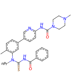 CCCN(C(=S)NC(=O)c1ccccc1)c1cc(-c2ccc(NC(=O)N3CCN(C)CC3)nc2)ccc1C